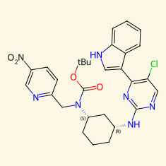 CC(C)(C)OC(=O)N(Cc1ccc([N+](=O)[O-])cn1)[C@H]1CCC[C@@H](Nc2ncc(Cl)c(-c3c[nH]c4ccccc34)n2)C1